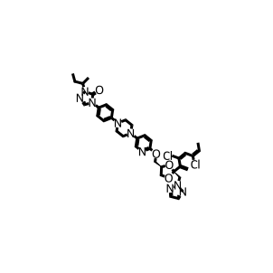 C=C(/C(Cl)=C\C(Cl)=C/C)[C@]1(Cn2nccn2)OC[C@@H](COc2ccc(N3CCN(c4ccc(-n5cnn(C(C)CC)c5=O)cc4)CC3)cn2)O1